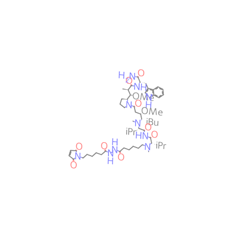 CC[C@H](C)[C@@H]([C@@H](CC(=O)N1CCC[C@H]1[C@H](OC)[C@@H](C)C(=O)N[C@@H](Cc1c[nH]c2ccccc12)C(N)=O)OC)N(C)[C@H](C(=O)NC(=O)[C@H](C(C)C)N(C)CCCCCC(=O)NNC(=O)CCCCCN1C(=O)C=CC1=O)C(C)C